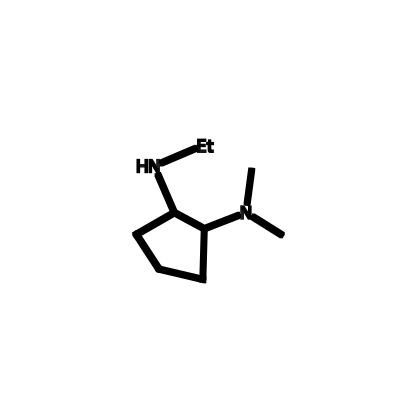 CCNC1CCCC1N(C)C